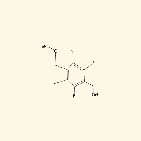 CCCOCc1c(F)c(F)c(CO)c(F)c1F